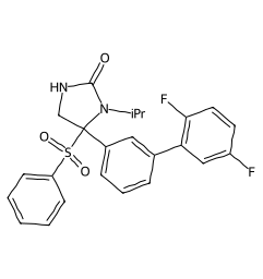 CC(C)N1C(=O)NCC1(c1cccc(-c2cc(F)ccc2F)c1)S(=O)(=O)c1ccccc1